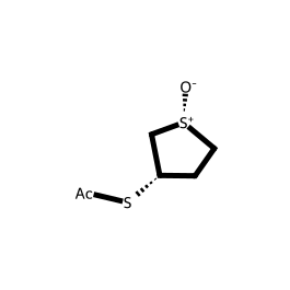 CC(=O)S[C@H]1CC[S@@+]([O-])C1